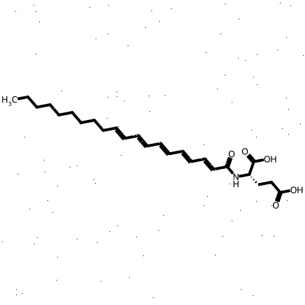 CCCCCCCCCC=CC=CC=CC=CC=CC(=O)N[C@@H](CCC(=O)O)C(=O)O